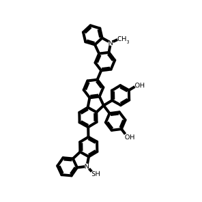 Cn1c2ccccc2c2cc(-c3ccc4c(c3)C(c3ccc(O)cc3)(c3ccc(O)cc3)c3cc(-c5ccc6c(c5)c5ccccc5n6S)ccc3-4)ccc21